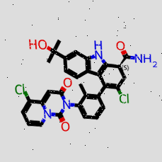 Cc1c(C2=C(Cl)C[C@H](C(N)=O)c3[nH]c4cc(C(C)(C)O)ccc4c32)cccc1-n1c(=O)cc2c(Cl)cccn2c1=O